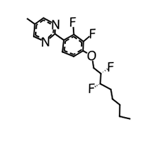 CCCCC[C@H](F)[C@@H](F)COc1ccc(-c2ncc(C)cn2)c(F)c1F